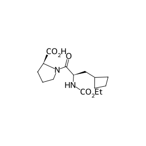 CCOC(=O)N[C@H](CC1CCC1)C(=O)N1CCC[C@H]1C(=O)O